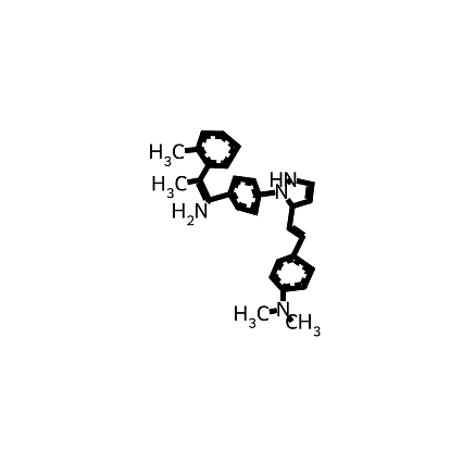 CC(=C(N)c1ccc(N2NC=CC2C=Cc2ccc(N(C)C)cc2)cc1)c1ccccc1C